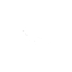 C=C(/C=C\CC(C)C)C1(O)CN(C(=O)OC(C)(C)C)C1